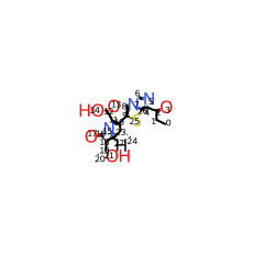 CCC(=O)c1ncn2cc(C3=C(C(=O)O)N4C(=O)[C@H]([C@@H](C)O)[C@H]4[C@H]3C)sc12